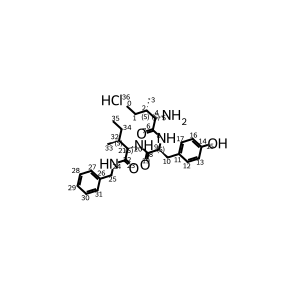 CC[C@H](C)[C@H](N)C(=O)N[C@@H](Cc1ccc(O)cc1)C(=O)N[C@H](C(=O)NCc1ccccc1)[C@@H](C)CC.Cl